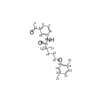 CC(=O)c1cccc(NC(=O)C(C)(C)CCCOc2cc(C)ccc2C)c1